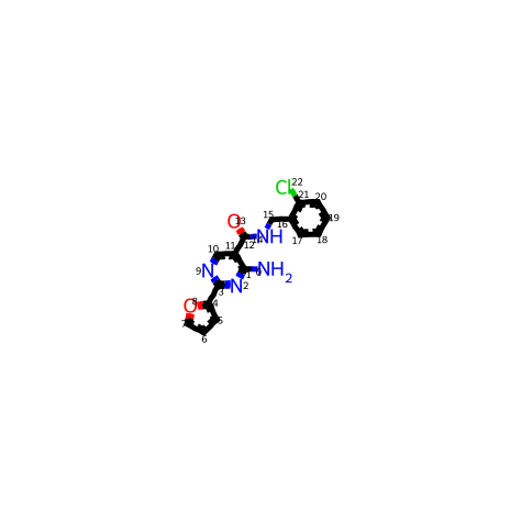 Nc1nc(-c2ccco2)ncc1C(=O)NCc1ccccc1Cl